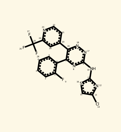 Fc1ccccc1-c1nc(Nc2nc(Cl)cs2)nnc1-c1ccnc(C(F)(F)F)c1